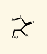 C=C(NC(C)(C)C)C(CC(=O)O)C(C)(C)C